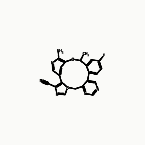 CC1Oc2cc(cnc2N)-c2c(C#N)ncn2Cc2ncncc2-c2ccc(F)cc21